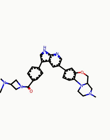 CN1CCN2c3ccc(-c4cnc5[nH]cc(-c6ccc(C(=O)N7CC(N(C)C)C7)cc6)c5c4)cc3OCC2C1